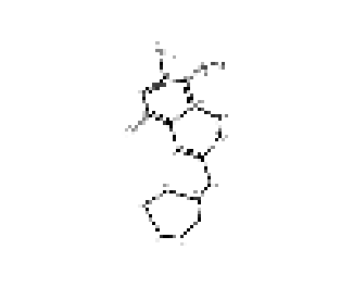 COc1c([N+](=O)[O-])cc(Cl)c2cc(CN3CCCCC3)cnc12